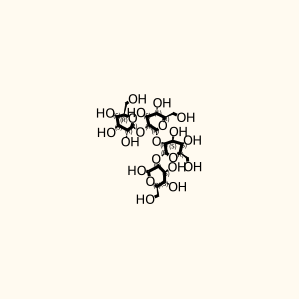 OC[C@H]1O[C@H](O[C@H]2[C@@H](O[C@H]3[C@@H](O[C@H]4C(O)O[C@H](CO)[C@@H](O)[C@@H]4O)O[C@H](CO)[C@@H](O)[C@@H]3O)O[C@H](CO)[C@@H](O)[C@@H]2O)[C@H](O)[C@@H](O)[C@@H]1O